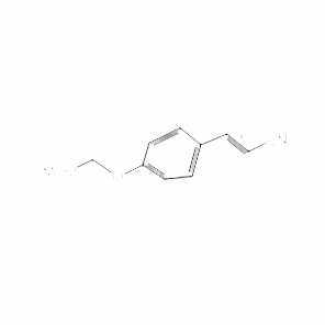 COCOc1ccc(/C=C/C#N)cc1